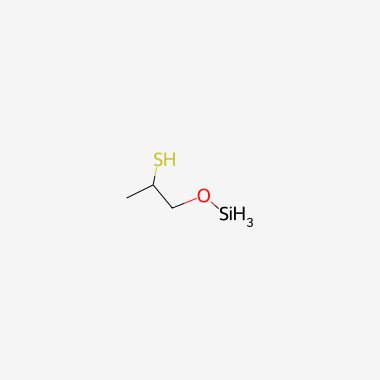 CC(S)CO[SiH3]